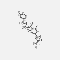 CC1=CC(c2noc(C(F)(F)F)n2)=CC2=NC(C(=O)N=[SH]c3cccc(C)c3)C(=O)N12